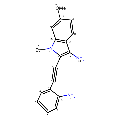 CCn1c(C#Cc2ccccc2N)c(N)c2ccc(OC)cc21